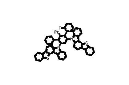 CC(C)c1c(-c2ccccc2F)c(-n2c3ccccc3c3c4sc5ccccc5c4ccc32)cc(-n2c3ccccc3c3c4sc5ccccc5c4ccc32)c1-c1ccccc1F